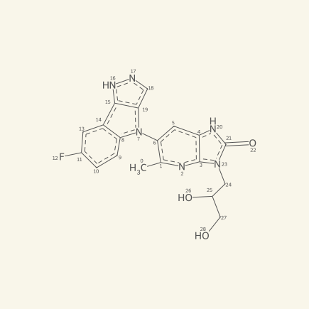 Cc1nc2c(cc1-n1c3ccc(F)cc3c3[nH]ncc31)[nH]c(=O)n2CC(O)CO